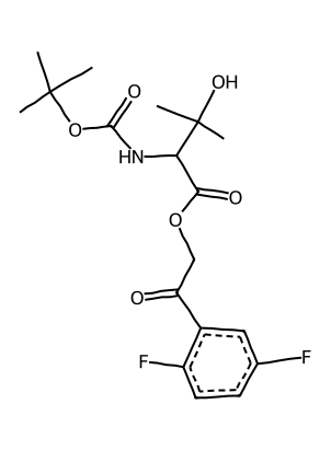 CC(C)(C)OC(=O)NC(C(=O)OCC(=O)c1cc(F)ccc1F)C(C)(C)O